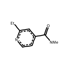 [CH2+][N-]C(=O)c1ccnc(CC)c1